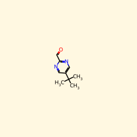 CC(C)(C)c1cnc(C=O)nc1